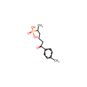 Cc1ccc(C(=O)CCCC(C)P(=O)(O)O)cc1